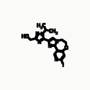 CC(C)n1nc(CO)nc1-c1cn2c(n1)-c1cnc(I)cc1OCC2